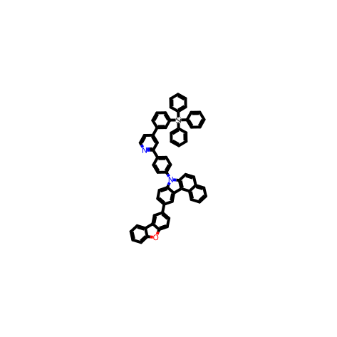 c1ccc([Si](c2ccccc2)(c2ccccc2)c2cccc(-c3ccnc(-c4ccc(-n5c6ccc(-c7ccc8oc9ccccc9c8c7)cc6c6c7ccccc7ccc65)cc4)c3)c2)cc1